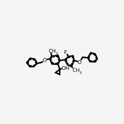 Cc1cc(-c2cc(C)c(OCc3ccccc3)cc2C2(O)CC2)c(F)cc1OCc1ccccc1